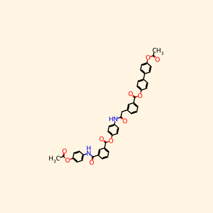 CC(=O)Oc1ccc(NC(=O)c2cccc(C(=O)Oc3ccc(NC(=O)Cc4cccc(C(=O)Oc5ccc(-c6ccc(OC(C)=O)cc6)cc5)c4)cc3)c2)cc1